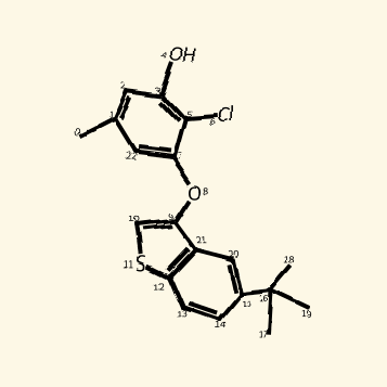 Cc1cc(O)c(Cl)c(Oc2csc3ccc(C(C)(C)C)cc23)c1